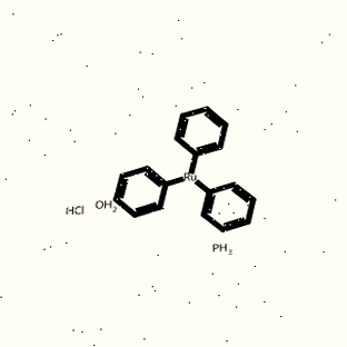 Cl.O.P.c1cc[c]([Ru]([c]2ccccc2)[c]2ccccc2)cc1